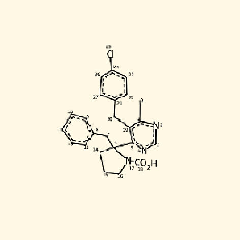 Cc1ncnc(C2(Cc3ccccc3)CCCN2C(=O)O)c1Cc1ccc(Cl)cc1